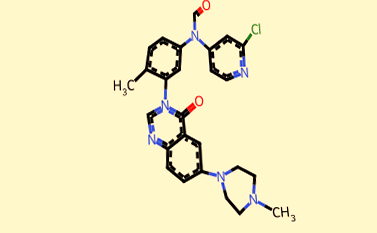 Cc1ccc(N(C=O)c2ccnc(Cl)c2)cc1-n1cnc2ccc(N3CCN(C)CC3)cc2c1=O